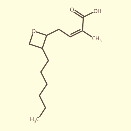 CCCCCCC1COC1CC=C(C)C(=O)O